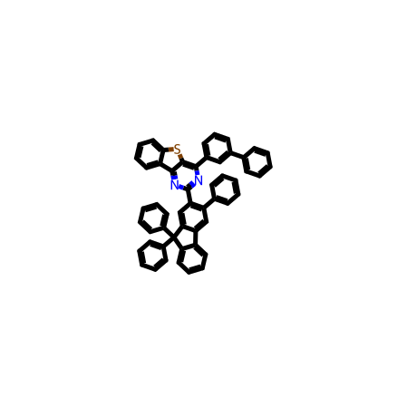 c1ccc(-c2cccc(-c3nc(-c4cc5c(cc4-c4ccccc4)-c4ccccc4C5(c4ccccc4)c4ccccc4)nc4c3sc3ccccc34)c2)cc1